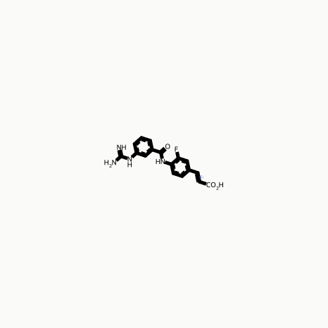 N=C(N)Nc1cccc(C(=O)Nc2ccc(/C=C/C(=O)O)cc2F)c1